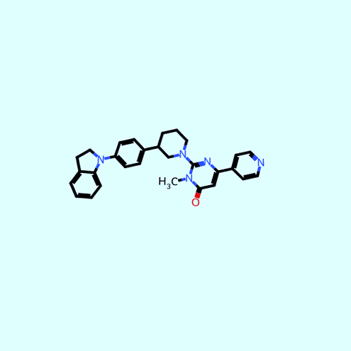 Cn1c(N2CCCC(c3ccc(N4CCc5ccccc54)cc3)C2)nc(-c2ccncc2)cc1=O